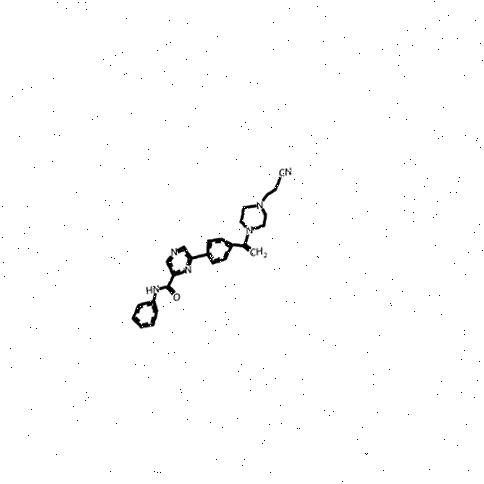 C=C(c1ccc(-c2cncc(C(=O)Nc3ccccc3)n2)cc1)N1CCN(CCC#N)CC1